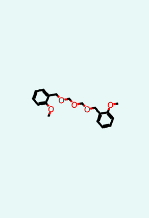 COc1ccccc1COCOCOCc1ccccc1OC